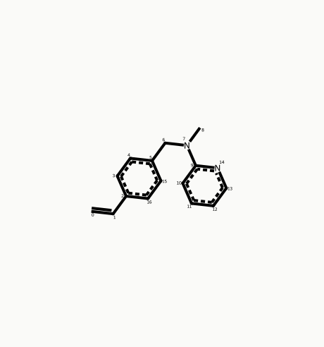 C=Cc1ccc(CN(C)c2ccccn2)cc1